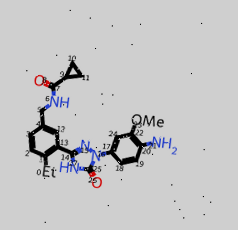 CCc1ccc(CNC(=O)C2CC2)cc1-c1nn(-c2ccc(N)c(OC)c2)c(=O)[nH]1